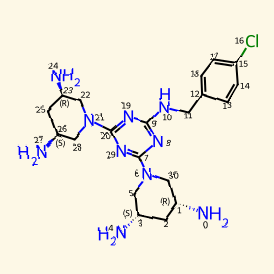 N[C@@H]1C[C@H](N)CN(c2nc(NCc3ccc(Cl)cc3)nc(N3C[C@H](N)C[C@H](N)C3)n2)C1